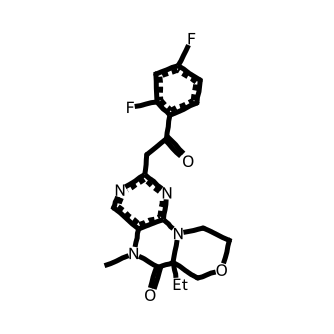 CCC12COCCN1c1nc(CC(=O)c3ccc(F)cc3F)ncc1N(C)C2=O